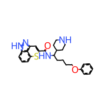 O=C(NC(CCCCOc1ccccc1)C1CCNCC1)C1=Cc2n[nH]c3cccc(c23)S1